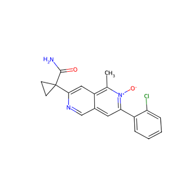 Cc1c2cc(C3(C(N)=O)CC3)ncc2cc(-c2ccccc2Cl)[n+]1[O-]